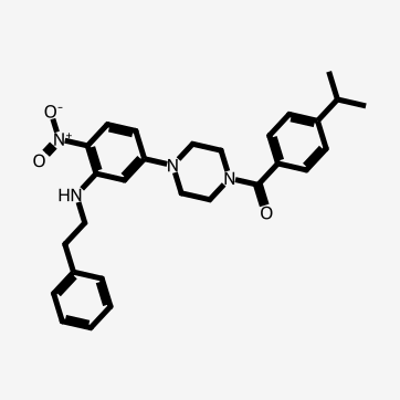 CC(C)c1ccc(C(=O)N2CCN(c3ccc([N+](=O)[O-])c(NCCc4ccccc4)c3)CC2)cc1